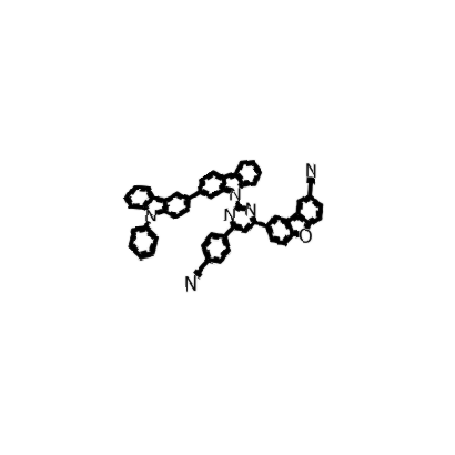 N#Cc1ccc(-c2cc(-c3ccc4oc5ccc(C#N)cc5c4c3)nc(-n3c4ccccc4c4ccc(-c5ccc6c(c5)c5ccccc5n6-c5ccccc5)cc43)n2)cc1